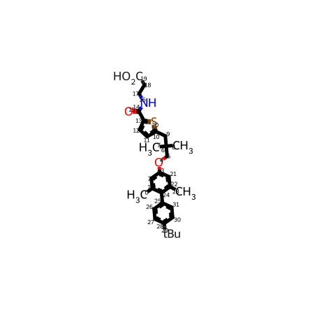 Cc1cc(OCC(C)(C)Cc2ccc(C(=O)NCCC(=O)O)s2)cc(C)c1-c1ccc(C(C)(C)C)cc1